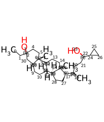 CC[C@]1(O)CC[C@@]2(C)[C@@H](CC[C@@H]3[C@@H]2CC[C@]2(C)[C@@H]([C@H](C)CC[C@@H](O)C4CC4)CC[C@@H]32)C1